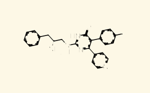 N[C@H](CNc1nc(-c2ccncc2)c(-c2ccc(F)cc2)c(=O)[nH]1)Cc1ccccc1